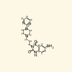 Nc1ccc2[nH]c(=O)n(CCCN3CCN(c4ncccn4)CC3)c(=O)c2c1